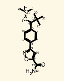 C[SiH](C)OC(c1ccc(-c2cc(C(N)=O)on2)cc1)C(C)(C)C